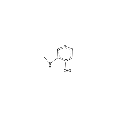 CBc1cnccc1C=O